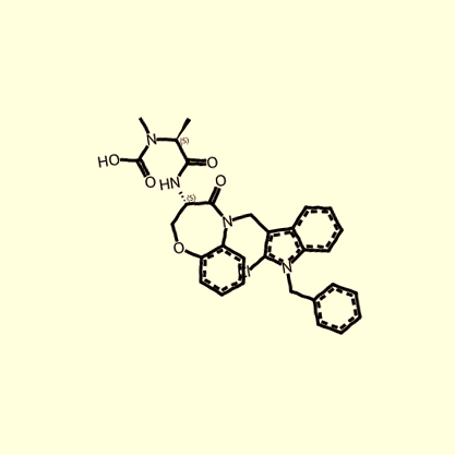 C[C@@H](C(=O)N[C@H]1COc2ccccc2N(Cc2c(Cl)n(Cc3ccccc3)c3ccccc23)C1=O)N(C)C(=O)O